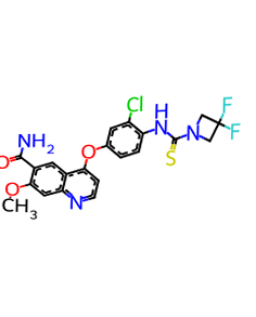 COc1cc2nccc(Oc3ccc(NC(=S)N4CC(F)(F)C4)c(Cl)c3)c2cc1C(N)=O